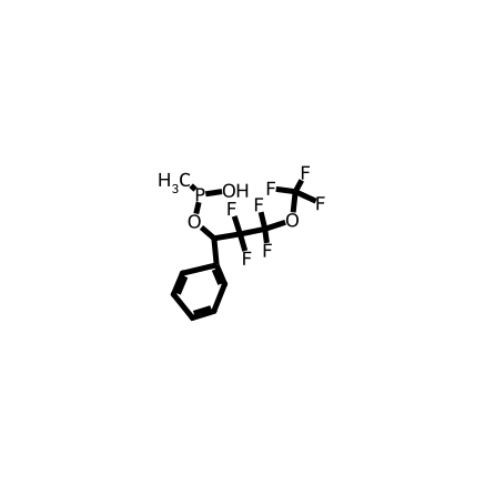 CP(O)OC(c1ccccc1)C(F)(F)C(F)(F)OC(F)(F)F